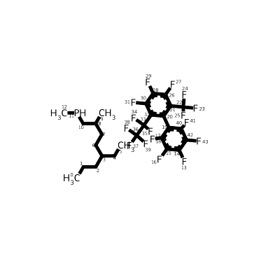 CCCC(CC)CCC(C)CPC.Fc1c(F)c(F)c(-c2c(C(F)(F)F)c(F)c(F)c(F)c2C(F)(F)C(F)(F)F)c(F)c1F